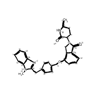 C=C1CCC(N2Cc3c(OCc4ccc(Cc5nc6ccccc6n5C)cc4)cccc3C2=O)C(=O)N1